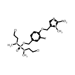 CN(CCCl)P(=O)(OCc1ccc(OCc2cnc([N+](=O)[O-])n2C)c(F)c1)N(C)CCCl